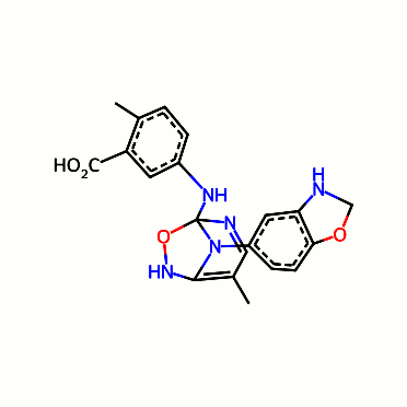 CC1=C2NOC(Nc3ccc(C)c(C(=O)O)c3)(N=C1)N2c1ccc2c(c1)NCO2